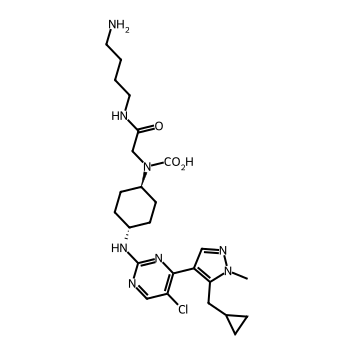 Cn1ncc(-c2nc(N[C@H]3CC[C@H](N(CC(=O)NCCCCN)C(=O)O)CC3)ncc2Cl)c1CC1CC1